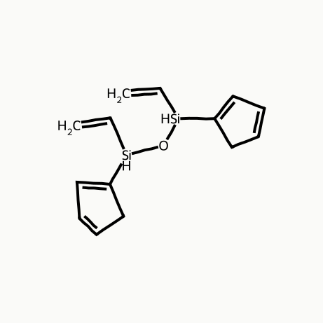 C=C[SiH](O[SiH](C=C)C1=CC=CC1)C1=CC=CC1